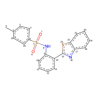 Cc1ccc(S(=O)(=O)Nc2ccccc2-c2nc3ccccc3s2)cc1